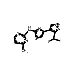 Cc1ccnc(Nc2nc(-c3c[nH]nc3C(F)F)cs2)n1